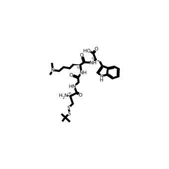 CN(C)CCCC[C@H](NC(=O)CNC(=O)[C@@H](N)CSSC(C)(C)C)C(=O)N[C@@H](Cc1c[nH]c2ccccc12)C(=O)O